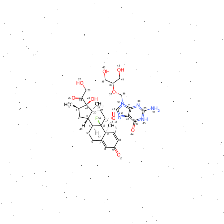 C[C@@H]1C[C@H]2[C@@H]3CCC4=CC(=O)C=C[C@]4(C)[C@@]3(F)[C@@H](O)C[C@]2(C)[C@@]1(O)C(=O)CO.Nc1nc2c(ncn2COC(CO)CO)c(=O)[nH]1